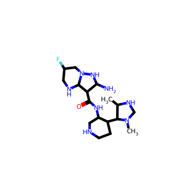 CC1NCN(C)C1C1CCNCC1NC(=O)C1C(N)NN2CC(F)CNC12